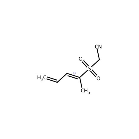 C=C/C=C(\C)S(=O)(=O)CC#N